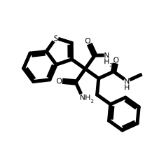 CNC(=O)C(Cc1ccccc1)C(C(N)=O)(C(N)=O)c1csc2ccccc12